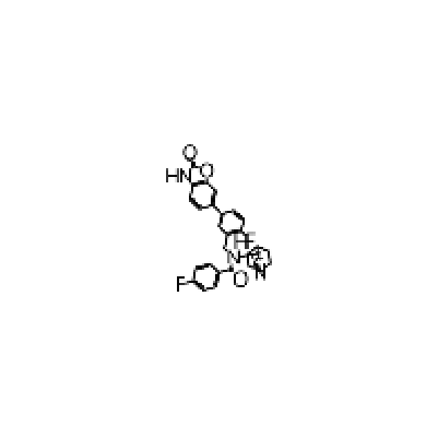 O=C(c1ccc(F)cc1)N(Cc1cc(-c2ccc3[nH]c(=O)oc3c2)ccc1F)[C@@H]1CN2CCC1CC2